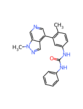 Cc1ccc(NC(=O)Nc2ccccc2)cc1-c1cncc2c1cnn2C